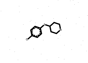 Clc1ccc(SC2CC[N]CC2)cc1